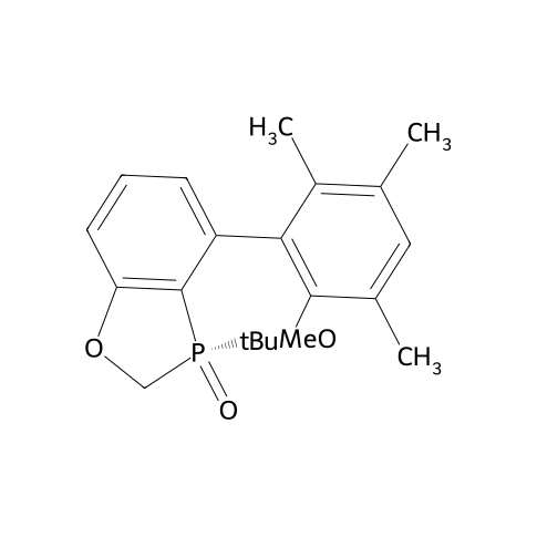 COc1c(C)cc(C)c(C)c1-c1cccc2c1[P@](=O)(C(C)(C)C)CO2